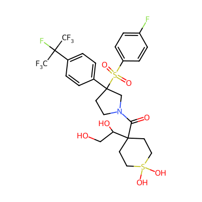 O=C(N1CCC(c2ccc(C(F)(C(F)(F)F)C(F)(F)F)cc2)(S(=O)(=O)c2ccc(F)cc2)C1)C1(C(O)CO)CCS(O)(O)CC1